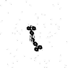 c1ccc2c(c1)Oc1ccccc1N2c1ccc(-c2nc3ncc(-c4ccc(-n5c6ccccc6c6ccccc65)cc4)cc3o2)cc1